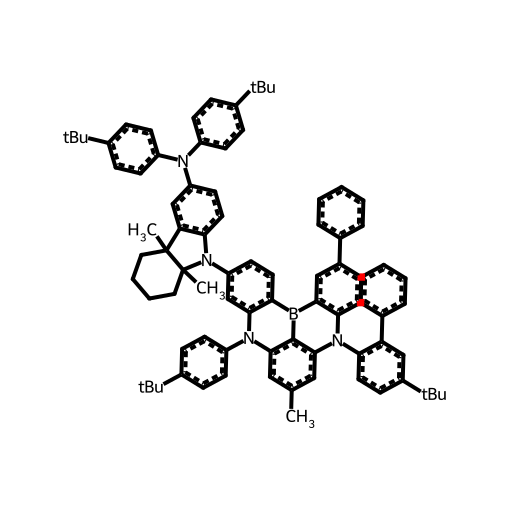 Cc1cc2c3c(c1)N(c1ccc(C(C)(C)C)cc1-c1ccccc1)c1ccc(-c4ccccc4)cc1B3c1ccc(N3c4ccc(N(c5ccc(C(C)(C)C)cc5)c5ccc(C(C)(C)C)cc5)cc4C4(C)CCCCC34C)cc1N2c1ccc(C(C)(C)C)cc1